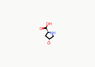 [O][C@H]1CN[C@H](C(=O)O)C1